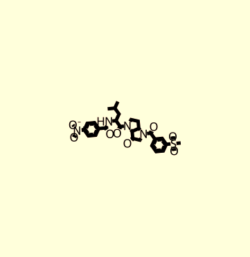 CC(C)CC(NC(=O)c1ccc([N+](=O)[O-])cc1)C(=O)N1CCC2C1C(=O)CN2C(=O)c1cccc(S(C)(=O)=O)c1